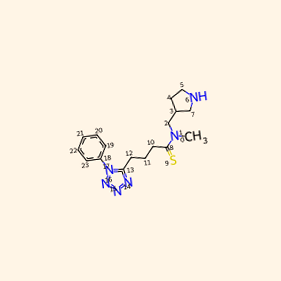 CN(CC1CCNC1)C(=S)CCCc1nnnn1-c1ccccc1